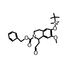 COc1cc2c(cc1O[Si](C)(C)C(C)(C)C)CCN(C(=O)OCc1ccccc1)C2CC=O